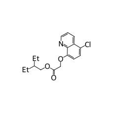 CCC(CC)COC(=O)COc1ccc(Cl)c2cccnc12